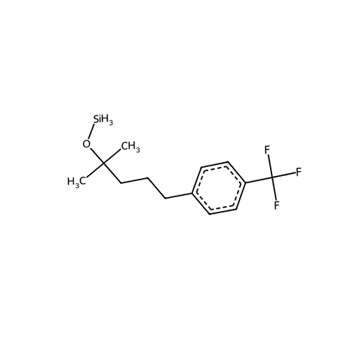 CC(C)(CCCc1ccc(C(F)(F)F)cc1)O[SiH3]